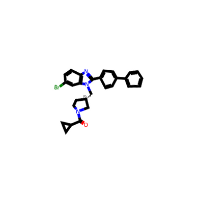 O=C(C1CC1)N1CC[C@H](Cn2c(-c3ccc(-c4ccccc4)cc3)nc3ccc(Br)cc32)C1